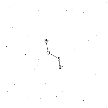 BrOSBr